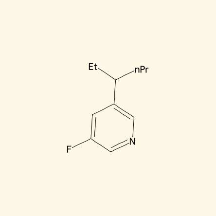 CCCC(CC)c1cncc(F)c1